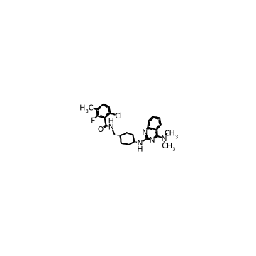 Cc1ccc(Cl)c(C(=O)NC[C@H]2CC[C@@H](Nc3nc(N(C)C)c4ccccc4n3)CC2)c1F